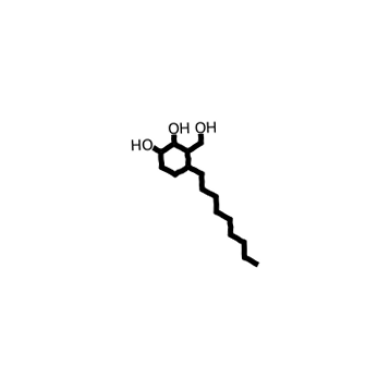 CCCCCCCCCC1CCC(O)C(O)C1CO